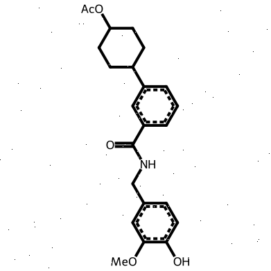 COc1cc(CNC(=O)c2cccc(C3CCC(OC(C)=O)CC3)c2)ccc1O